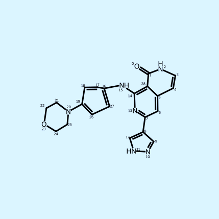 O=c1[nH]ccc2cc(-c3cn[nH]c3)nc(Nc3ccc(N4CCOCC4)cc3)c12